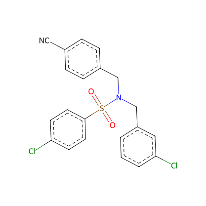 N#Cc1ccc(CN(Cc2cccc(Cl)c2)S(=O)(=O)c2ccc(Cl)cc2)cc1